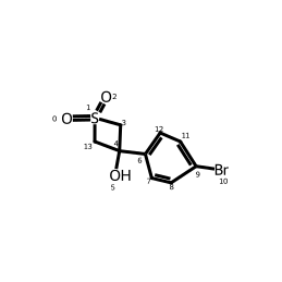 O=S1(=O)CC(O)(c2ccc(Br)cc2)C1